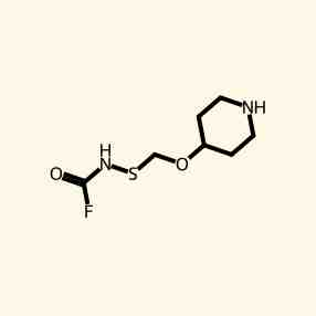 O=C(F)NSCOC1CCNCC1